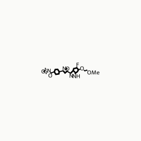 COCCOc1cc2[nH]nc(-c3cc(-c4ccc(C(=O)N=S(C)(C)=O)cc4)no3)c2cc1F